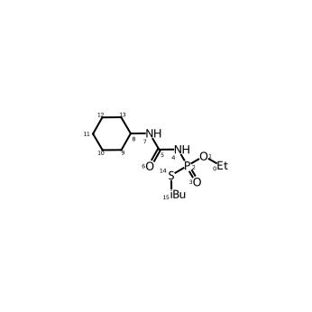 CCOP(=O)(NC(=O)NC1CCCCC1)SC(C)CC